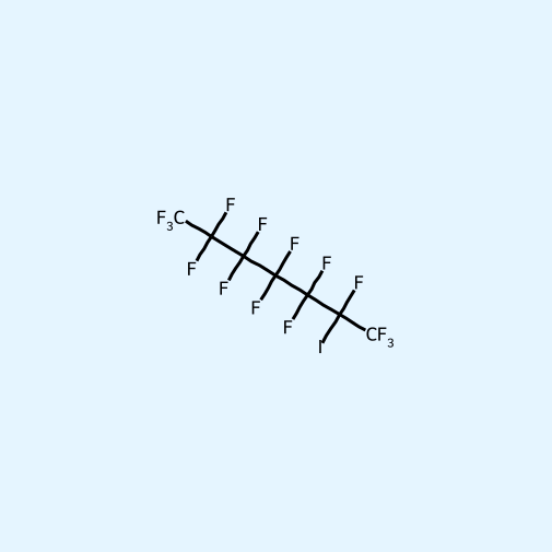 FC(F)(F)C(F)(F)C(F)(F)C(F)(F)C(F)(F)C(F)(I)C(F)(F)F